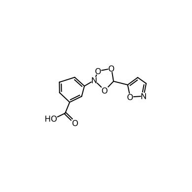 O=C(O)c1cccc(N2OOC(c3ccno3)O2)c1